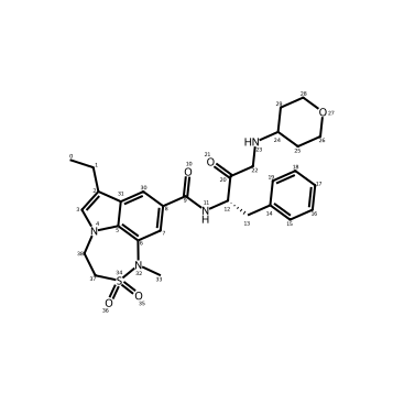 CCc1cn2c3c(cc(C(=O)N[C@@H](Cc4ccccc4)C(=O)CNC4CCOCC4)cc13)N(C)S(=O)(=O)CC2